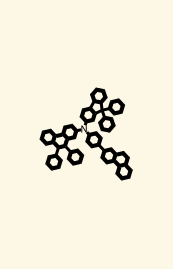 c1ccc(-c2c(-c3ccccc3)c3cc(N(c4ccc(-c5ccc6c(ccc7ccccc76)c5)cc4)c4ccc5c(c4)C(c4ccccc4)(c4ccccc4)c4ccccc4-5)ccc3c3ccccc23)cc1